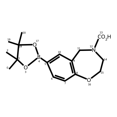 CC1(C)OB(c2ccc3c(c2)CN(C(=O)O)CCO3)OC1(C)C